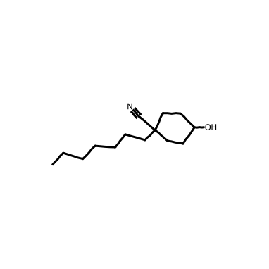 CCCCCCCC1(C#N)CCC(O)CC1